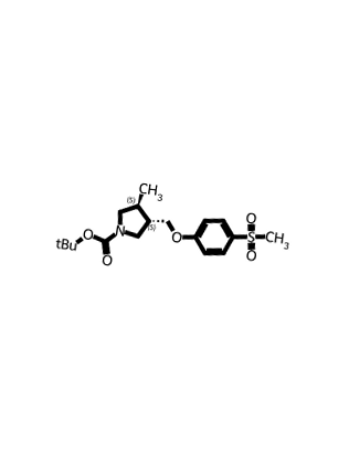 C[C@@H]1CN(C(=O)OC(C)(C)C)C[C@H]1COc1ccc(S(C)(=O)=O)cc1